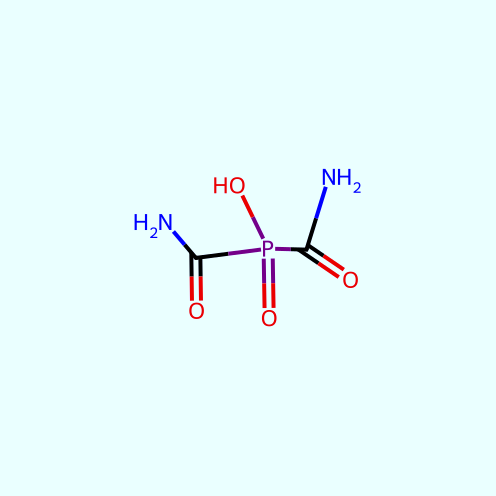 NC(=O)P(=O)(O)C(N)=O